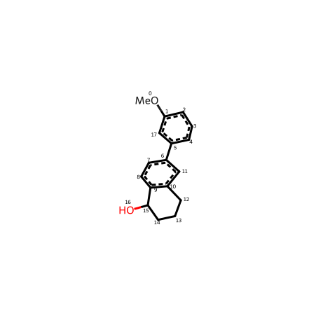 COc1cccc(-c2ccc3c(c2)CCCC3O)c1